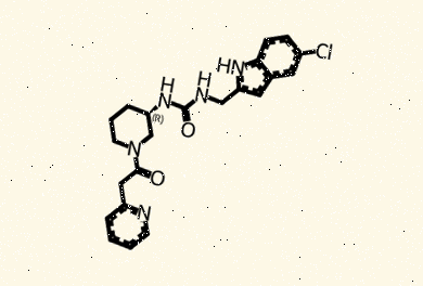 O=C(NCc1cc2cc(Cl)ccc2[nH]1)N[C@@H]1CCCN(C(=O)Cc2ccccn2)C1